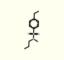 CCCN(C)S(=O)(=O)c1ccc(CC)cc1